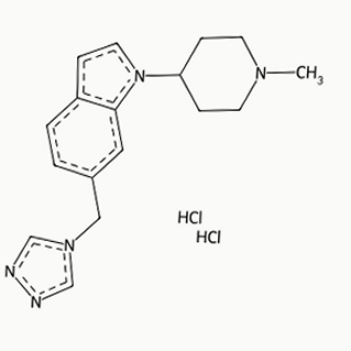 CN1CCC(n2ccc3ccc(Cn4cnnc4)cc32)CC1.Cl.Cl